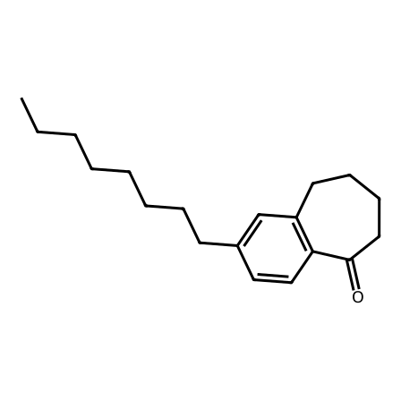 CCCCCCCCc1ccc2c(c1)CCCCC2=O